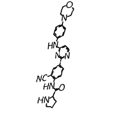 N#Cc1cc(-c2nccc(Nc3ccc(N4CCOCC4)cc3)n2)ccc1NC(=O)C1CCCN1